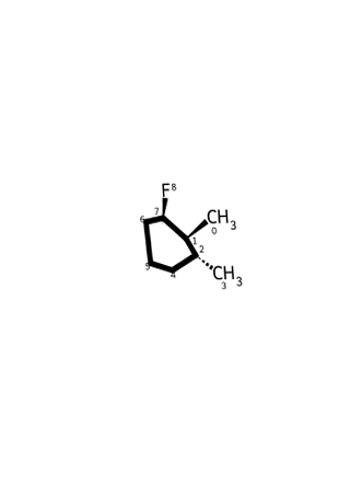 C[C@H]1[C@H](C)CCC[C@H]1F